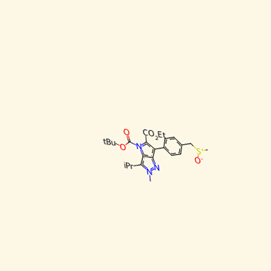 CCOC(=O)c1c(-c2ccc(C[S+](C)[O-])cc2)c2nn(C)c(C(C)C)c2n1C(=O)OC(C)(C)C